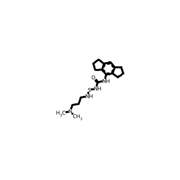 CN(C)CCCNSNC(=O)Nc1c2c(cc3c1CCC3)CCC2